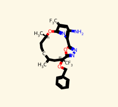 CC1CCC[C@@H](C)Oc2nc(c(N)cc2C(F)(F)F)-c2nnc(o2)[C@@](OCc2ccccc2)(C(F)(F)F)C1